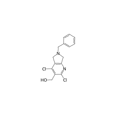 OCc1c(Cl)nc2c(c1Cl)CN(Cc1ccccc1)C2